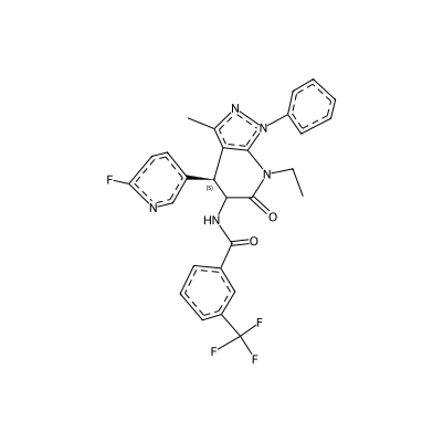 CCN1C(=O)C(NC(=O)c2cccc(C(F)(F)F)c2)[C@@H](c2ccc(F)nc2)c2c(C)nn(-c3ccccc3)c21